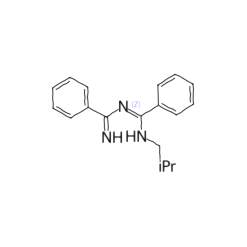 CC(C)CN/C(=N\C(=N)c1ccccc1)c1ccccc1